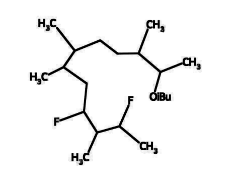 CC(C)COC(C)C(C)CCC(C)C(C)CC(F)C(C)C(C)F